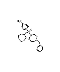 Cc1ccc(S(=O)(=O)N2CCN(Cc3ccccc3)CC[C@H]2C2CCCCCC2)cc1